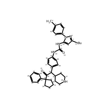 Cc1ccc(-n2nc(C(C)(C)C)cc2NC(=O)Nc2ccc(C(C(=O)C3(c4ccccc4)CCCC3)C3CCNCC3)cc2)cc1